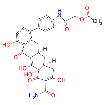 CC(=O)OCC(=O)Nc1ccc(-c2ccc(O)c3c2C[C@H]2C[C@H]4CC(O)=C(C(N)=O)C(=O)[C@@]4(O)C(O)=C2C3=O)cc1